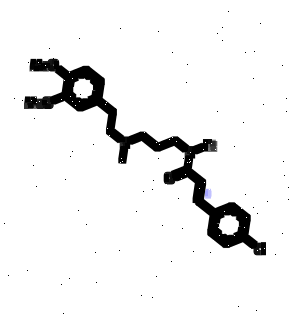 CCN(CCCN(C)CCc1ccc(OC)c(OC)c1)C(=O)/C=C/c1ccc(Cl)cc1